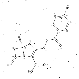 O=C(O)C1=C(SCC(=O)c2ccc(Br)cc2)S[C@@H]2CC(=O)N12